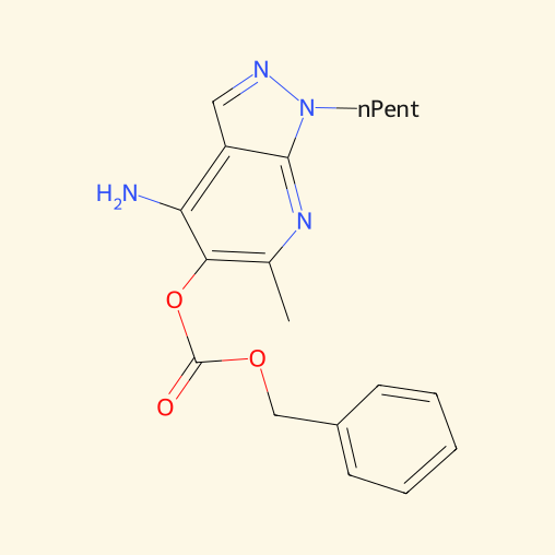 CCCCCn1ncc2c(N)c(OC(=O)OCc3ccccc3)c(C)nc21